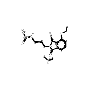 CCOc1cccc2c1C(=O)N(CCCO[N+](=O)[O-])C2=O.CNC